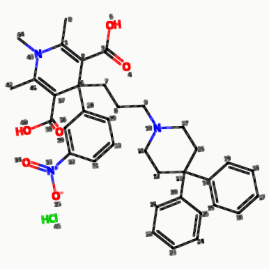 CC1=C(C(=O)O)C(CCCN2CCC(c3ccccc3)(c3ccccc3)CC2)(c2cccc([N+](=O)[O-])c2)C(C(=O)O)=C(C)N1C.Cl